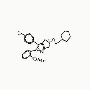 COc1ccccc1-n1nc2c(c1-c1ccc(Cl)cc1)C[C@H](OCC1CCCCC1)C2